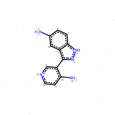 Nc1ccc2[nH]nc(-c3cnccc3N)c2c1